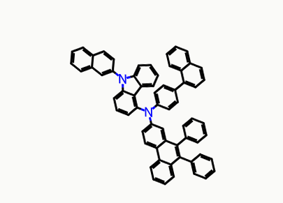 c1ccc(-c2c(-c3ccccc3)c3cc(N(c4ccc(-c5cccc6ccccc56)cc4)c4cccc5c4c4ccccc4n5-c4ccc5ccccc5c4)ccc3c3ccccc23)cc1